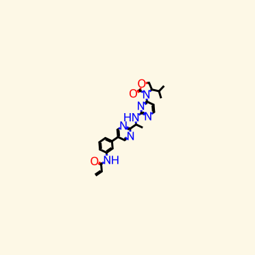 C=CC(=O)Nc1cccc(-c2cnc(C(C)Nc3nccc(N4C(=O)OCC4C(C)C)n3)nc2)c1